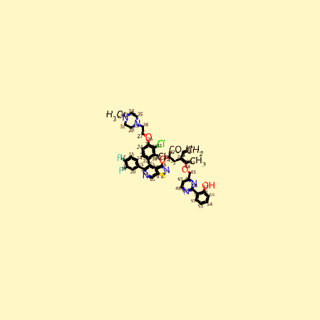 C=C/C(C[C@@H](Oc1nsc2cnc(-c3ccc(F)c(F)c3)c(-c3ccc(OCCN4CCN(C)CC4)c(Cl)c3C)c12)C(=O)O)=C(\C)OCc1ccnc(-c2ccccc2O)n1